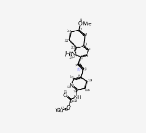 COC1=CC2=CC=C(/C=C/C3=CN=C(NC(=O)OC(C)(C)C)CC3)NC2CC1